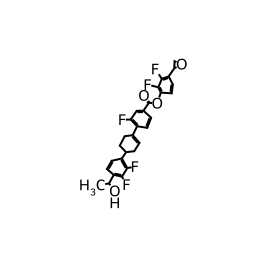 CC(O)c1ccc(C2CC=C(c3ccc(C(=O)Oc4ccc(C5CO5)c(F)c4F)cc3F)CC2)c(F)c1F